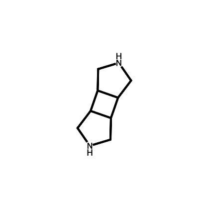 C1NCC2C1C1CNCC21